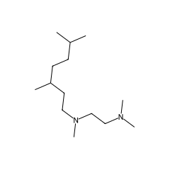 CC(C)CCC(C)CCN(C)CCN(C)C